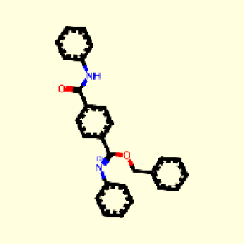 O=C(Nc1ccccc1)c1ccc(/C(=N/c2ccccc2)OCc2ccccc2)cc1